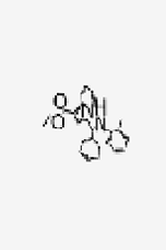 CCOC(=O)c1cc(C(Nc2ccccc2C)c2ccccc2)n2ccccc12